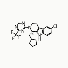 FC(F)(F)c1ncnc(N2CCc3c([nH]c4ccc(Cl)cc34)[C@@H]2CC2CCCC2)n1